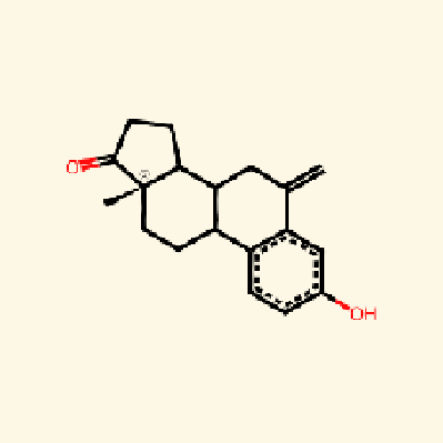 C=C1CC2C(CC[C@]3(C)C(=O)CCC23)c2ccc(O)cc21